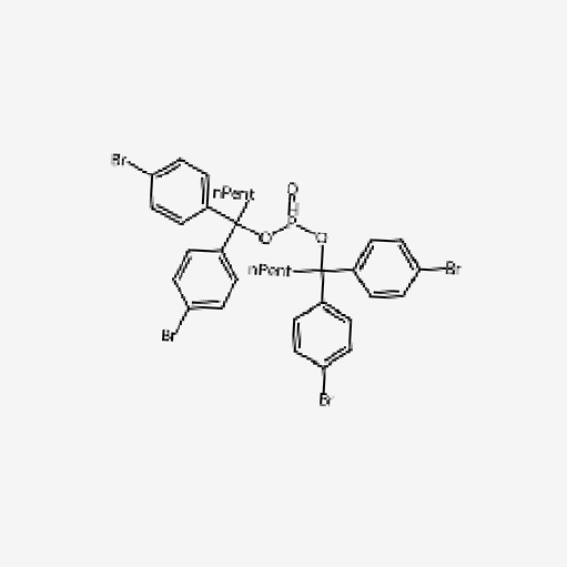 CCCCCC(O[PH](=O)OC(CCCCC)(c1ccc(Br)cc1)c1ccc(Br)cc1)(c1ccc(Br)cc1)c1ccc(Br)cc1